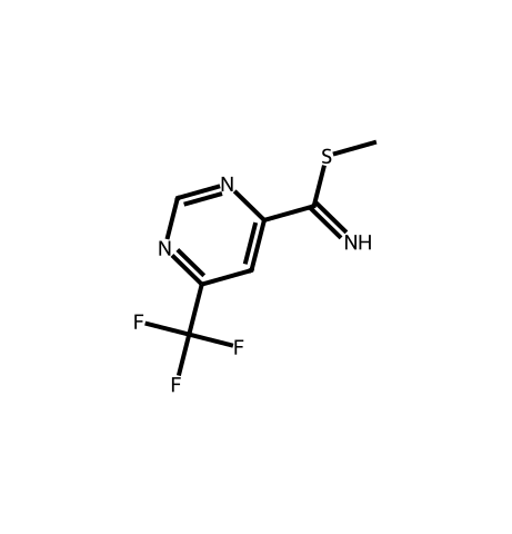 CSC(=N)c1cc(C(F)(F)F)ncn1